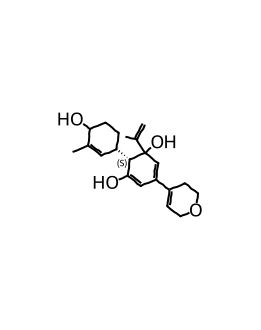 C=C(C)C1(O)C=C(C2=CCOCC2)C=C(O)[C@@H]1C1C=C(C)C(O)CC1